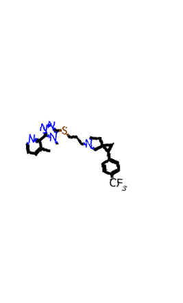 Cc1cccnc1-c1nnc(SCCCN2CCC3(CC3c3ccc(C(F)(F)F)cc3)C2)n1C